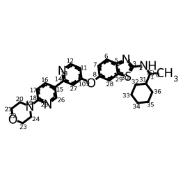 C[C@H](Nc1nc2ccc(Oc3ccnc(-c4ccc(N5CCOCC5)nc4)c3)cc2s1)C1CCCCC1